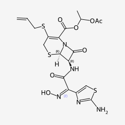 C=CCSC1=C(C(=O)OC(C)OC(C)=O)N2C(=O)[C@@H](NC(=O)/C(=N\O)c3csc(N)n3)[C@H]2SC1